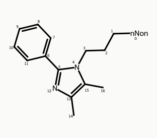 CCCCCCCCCCCCn1c(-c2ccccc2)nc(C)c1C